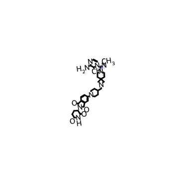 C/N=C(/N1CCC2(CC1)CN(CC1CCN(c3ccc4c(c3)C(=O)N(C3CCC(=O)NC3=O)C4=O)CC1)C2)N1C=CN=C(N)C1C